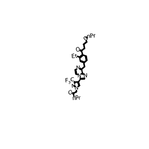 CCCOCCCC(=O)c1ccc(Cc2nccn3c(-c4cn(CC(=O)CCC)nc4C(F)(F)F)cnc23)cc1CC